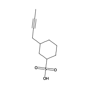 CC#CCC1CCCC(S(=O)(=O)O)C1